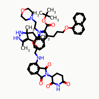 CC1=C(c2cccc3c(CCCOc4cccc5ccccc45)c(C(=O)OC(C)(C)C)n(CCN4CCOCC4)c23)C(C)(CC(C)OCCNc2cccc3c2C(=O)N(C2CCC(=O)NC2=O)C3=O)NN1